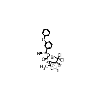 CC1(C)[C@@H]([C@@H](Br)C(Cl)(Cl)Br)[C@H]1C(=O)O[C@H](C#N)c1cccc(Oc2ccccc2)c1